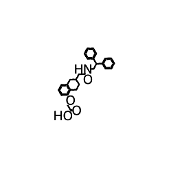 O=C(O)COc1cccc2c1CCC(CC(=O)NCC(c1ccccc1)c1ccccc1)C2